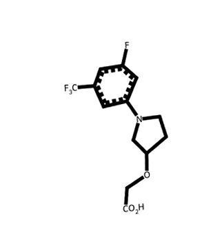 O=C(O)COC1CCN(c2cc(F)cc(C(F)(F)F)c2)C1